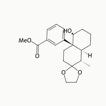 COC(=O)c1cccc([C@]23CCC4(OCCO4)[C@@H](C)[C@@H]2CCC[C@@H]3O)c1